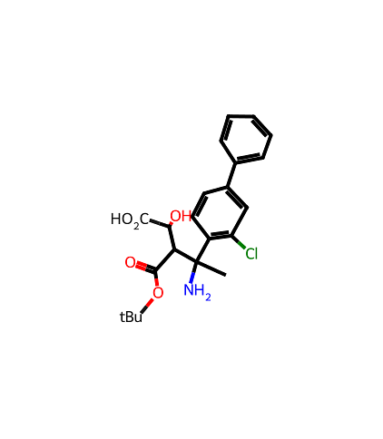 CC(C)(C)OC(=O)C(C(O)C(=O)O)C(C)(N)c1ccc(-c2ccccc2)cc1Cl